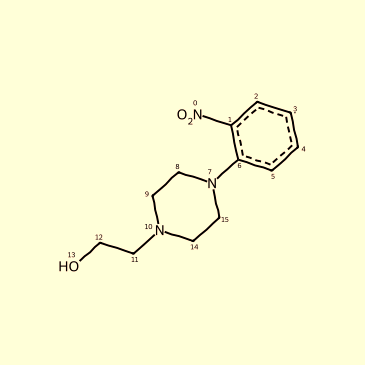 O=[N+]([O-])c1c[c]ccc1N1CCN(CCO)CC1